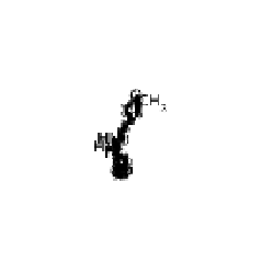 CC(=O)N1CCCN(CCCCC(=O)Nc2cc(-c3ccc4c(c3)OCCO4)n[nH]2)CC1